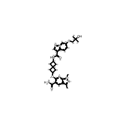 Cc1nn(C)c2nc(OC3CC4(CC(NC(=O)c5cnn6cc(OCC(C)(C)O)ccc56)C4)C3)c(C(N)=O)cc12